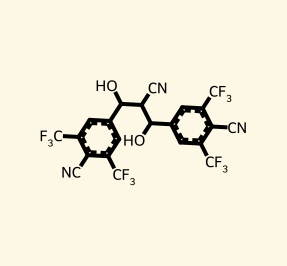 N#Cc1c(C(F)(F)F)cc(C(O)C(C#N)C(O)c2cc(C(F)(F)F)c(C#N)c(C(F)(F)F)c2)cc1C(F)(F)F